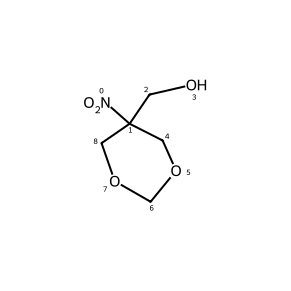 O=[N+]([O-])C1(CO)COCOC1